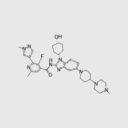 Cc1cc(C(=O)Nc2nc3cc(N4CCC(N5CCN(C)CC5)CC4)ccc3n2[C@H]2CC[C@@H](O)CC2)c(F)c(-c2cnn(C)c2)n1